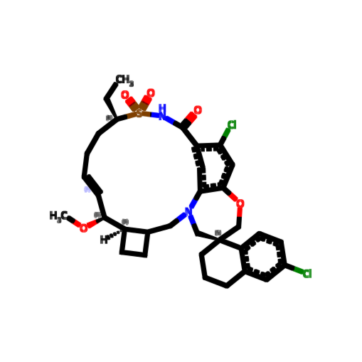 CC[C@@H]1CC/C=C/[C@H](OC)[C@@H]2CCC2CN2C[C@@]3(CCCc4cc(Cl)ccc43)COc3cc(Cl)c(cc32)C(=O)NS1(=O)=O